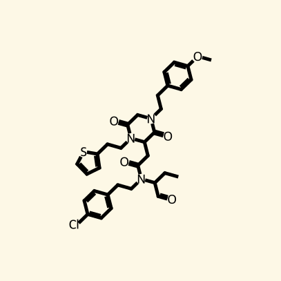 CCC(C=O)N(CCc1ccc(Cl)cc1)C(=O)CC1C(=O)N(CCc2ccc(OC)cc2)CC(=O)N1CCc1cccs1